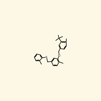 Cc1ccc(CSc2ccccc2C)cc1OCc1ccc(C)c(C(C)(C)C)c1